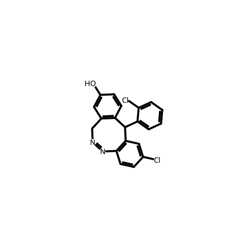 Oc1ccc2c(c1)CN=Nc1ccc(Cl)cc1C2c1ccccc1Cl